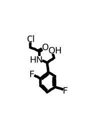 O=C(CCl)NC(CO)c1cc(F)ccc1F